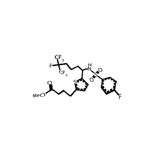 COC(=O)CCCc1ccc(C(CCCC(F)(C(F)(F)F)C(F)(F)F)NS(=O)(=O)c2ccc(F)cc2)s1